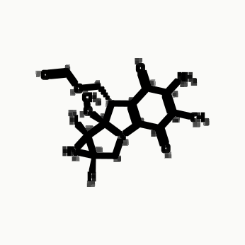 CO[C@@]12[C@H](COC=O)C3=C(C(=O)C(C)=C(N)C3=O)N1C[C@@H]1N[C@@H]12